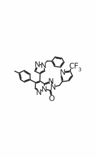 Cc1ccc(-c2cnn3c(=O)n(Cc4ccc(C(F)(F)F)nc4)nc3c2-c2cnn(Cc3ccccc3)c2)cc1